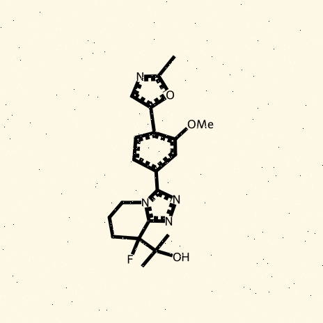 COc1cc(-c2nnc3n2CCCC3(F)C(C)(C)O)ccc1-c1cnc(C)o1